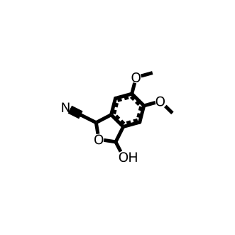 COc1cc2c(cc1OC)C(C#N)OC2O